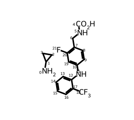 NC1CC1.O=C(O)NCc1ccc(Nc2ccccc2C(F)(F)F)cc1F